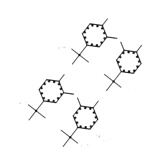 CCCCCC(C)(C)c1ccc([O-])c(Sc2cc(C(C)(C)CCCCC)ccc2[O-])c1.CCCCCC(C)(C)c1ccc([O-])c(Sc2cc(C(C)(C)CCCCC)ccc2[O-])c1.[Ni+2].[Ni+2]